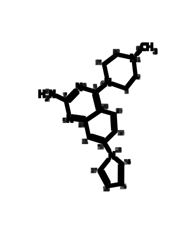 CN1CCN(c2nc(N)nc3cc(-n4cccc4)ccc23)CC1